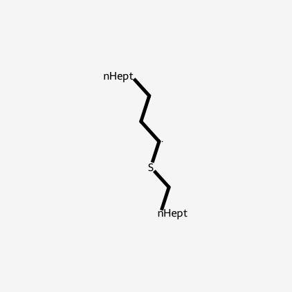 CCCCCCCCC[CH]SCCCCCCCC